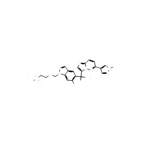 Cn1cc(-c2ccc3ncc(C(C)(O)c4cc5cnn(COCC[Si](C)(C)C)c5cc4F)n3n2)cn1